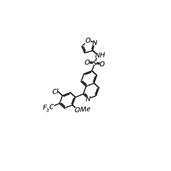 COc1cc(C(F)(F)F)c(Cl)cc1-c1nccc2cc(S(=O)(=O)Nc3ccon3)ccc12